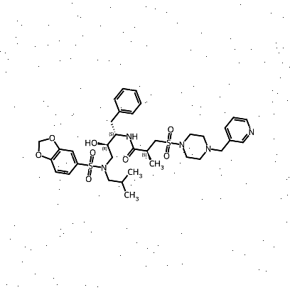 CC(C)CN(C[C@@H](O)[C@H](Cc1ccccc1)NC(=O)[C@H](C)CS(=O)(=O)N1CCN(Cc2cccnc2)CC1)S(=O)(=O)c1ccc2c(c1)OCO2